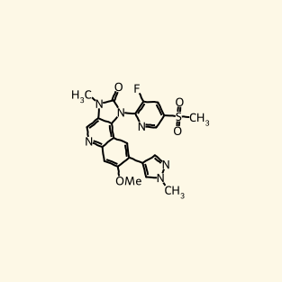 COc1cc2ncc3c(c2cc1-c1cnn(C)c1)n(-c1ncc(S(C)(=O)=O)cc1F)c(=O)n3C